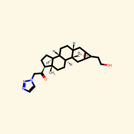 C[C@]12CC3C(CCO)[C@@]3(O)C[C@H]1CC[C@@H]1[C@@H]2CC[C@]2(C)[C@@H](C(=O)Cn3ccnn3)CC[C@@H]12